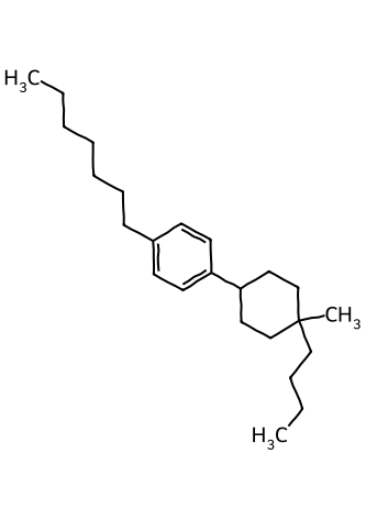 CCCCCCCc1ccc(C2CCC(C)(CCCC)CC2)cc1